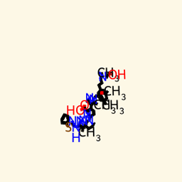 Cc1c(Nc2nc3ccccc3s2)nnc2c1CCCN2c1ccc(-c2cnn(CC34CC5(C)CC(C)(CC(CCCN(C)CCO)(C5)C3)C4)c2C)c(C(=O)O)n1